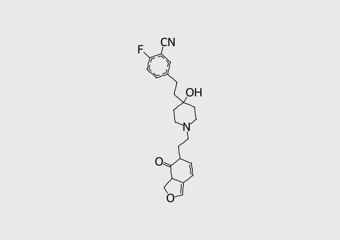 N#Cc1cc(CCC2(O)CCN(CCC3C=CC4=COCC4C3=O)CC2)ccc1F